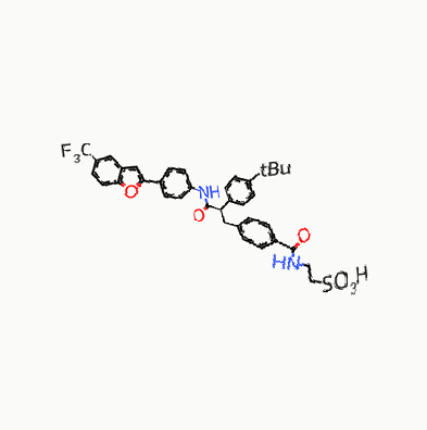 CC(C)(C)c1ccc(C(Cc2ccc(C(=O)NCCS(=O)(=O)O)cc2)C(=O)Nc2ccc(-c3cc4cc(C(F)(F)F)ccc4o3)cc2)cc1